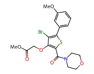 COC(=O)COc1c(C(=O)N2CCOCC2)sc(-c2cccc(OC)c2)c1Br